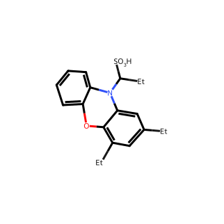 CCc1cc(CC)c2c(c1)N(C(CC)S(=O)(=O)O)c1ccccc1O2